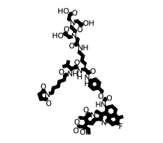 CC[C@@]1(O)C(=O)OCc2c1cc1n(c2=O)Cc2c-1nc1cc(F)c(C)c3c1c2[C@@H](NC(=O)OCc1ccc(NC(=O)[C@H](CCCCNC(=O)CN(CCN(CC(=O)O)CC(=O)O)CC(=O)O)NC(=O)[C@@H](NC(=O)CCCCCN2C(=O)C=CC2=O)C(C)C)cc1)CC3